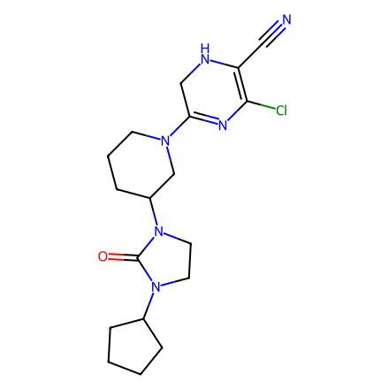 N#CC1=C(Cl)N=C(N2CCCC(N3CCN(C4CCCC4)C3=O)C2)CN1